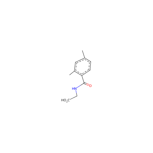 Cc1ccc(C(=O)NCC(=O)O)c(C)c1